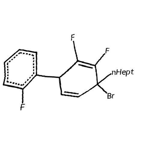 CCCCCCCC1(Br)C=CC(c2ccccc2F)C(F)=C1F